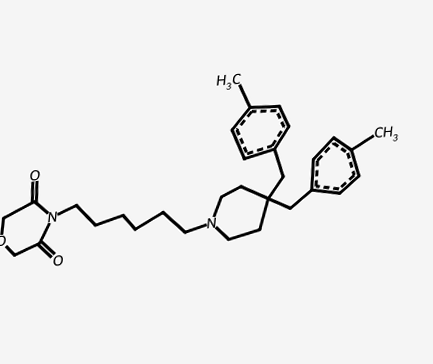 Cc1ccc(CC2(Cc3ccc(C)cc3)CCN(CCCCCCN3C(=O)COCC3=O)CC2)cc1